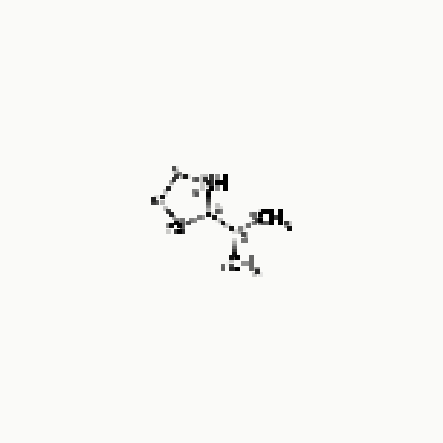 C[C](C)C1NCCS1